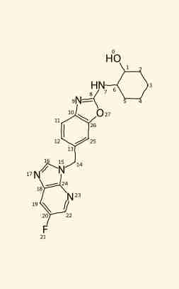 OC1CCCCC1Nc1nc2ccc(Cn3cnc4cc(F)cnc43)cc2o1